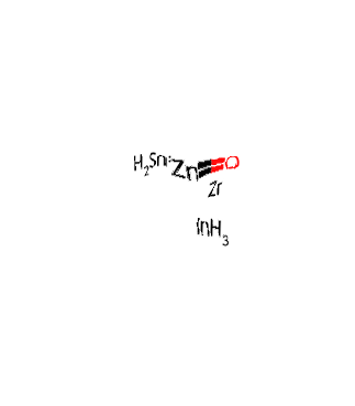 [InH3].[O]=[Zn].[SnH2].[Zr]